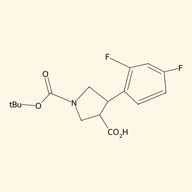 CC(C)(C)OC(=O)N1CC(C(=O)O)C(c2ccc(F)cc2F)C1